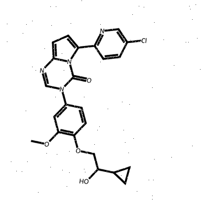 COc1cc(-n2cnc3ccc(-c4ccc(Cl)cn4)n3c2=O)ccc1OCC(O)C1CC1